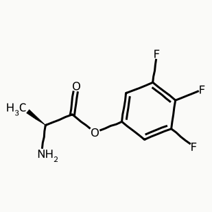 C[C@H](N)C(=O)Oc1cc(F)c(F)c(F)c1